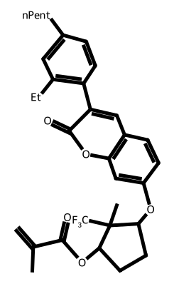 C=C(C)C(=O)OC1CCC(Oc2ccc3cc(-c4ccc(CCCCC)cc4CC)c(=O)oc3c2)C1(C)C(F)(F)F